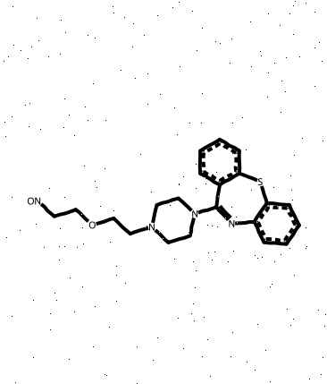 O=NCCOCCN1CCN(C2=Nc3ccccc3Sc3ccccc32)CC1